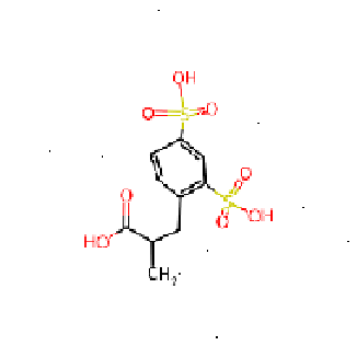 [CH2]C(Cc1ccc(S(=O)(=O)O)cc1S(=O)(=O)O)C(=O)O